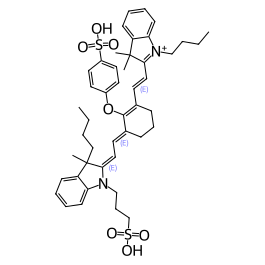 CCCC[N+]1=C(/C=C/C2=C(Oc3ccc(S(=O)(=O)O)cc3)C(=C/C=C3/N(CCCS(=O)(=O)O)c4ccccc4C3(C)CCCC)/CCC2)C(C)(C)c2ccccc21